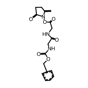 C=C1CCC(=O)N1OC(=O)CNC(=O)CNC(=O)OCc1ccccc1